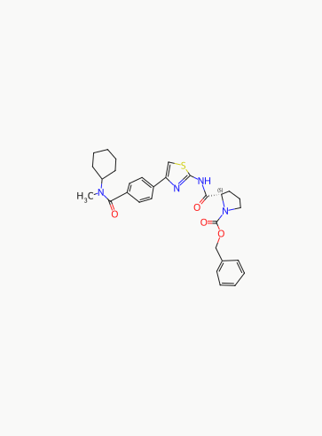 CN(C(=O)c1ccc(-c2csc(NC(=O)[C@@H]3CCCN3C(=O)OCc3ccccc3)n2)cc1)C1CCCCC1